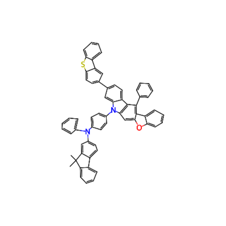 CC1(C)c2ccccc2-c2ccc(N(c3ccccc3)c3ccc(-n4c5cc(-c6ccc7sc8ccccc8c7c6)ccc5c5c(-c6ccccc6)c6c(cc54)oc4ccccc46)cc3)cc21